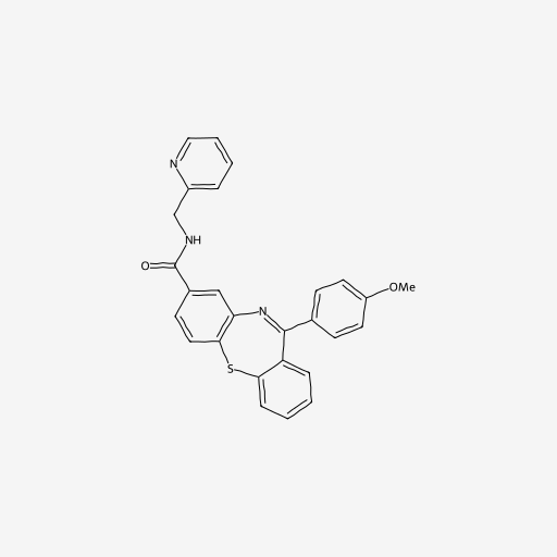 COc1ccc(C2=Nc3cc(C(=O)NCc4ccccn4)ccc3Sc3ccccc32)cc1